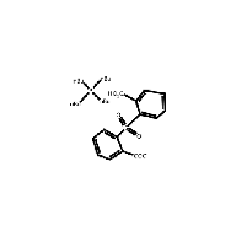 CCCC[P+](CCCC)(CCCC)CCCC.O=C([O-])c1ccccc1S(=O)(=O)c1ccccc1C(=O)O